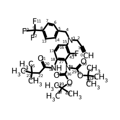 C#CCN(Cc1ccc(C(F)(F)F)cc1)c1ccc(NC(=O)CC(C)(C)C)c(N(C(=O)OC(C)(C)C)C(=O)OC(C)(C)C)c1F